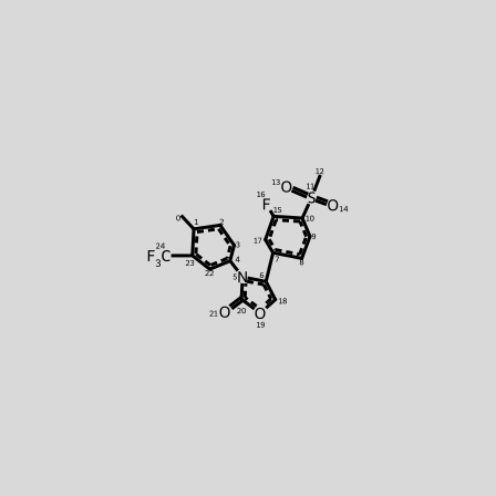 Cc1ccc(-n2c(-c3ccc(S(C)(=O)=O)c(F)c3)coc2=O)cc1C(F)(F)F